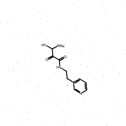 CCCC(NC)C(=O)C(=O)NCCc1cccnc1